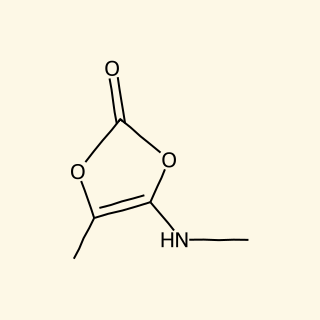 CNc1oc(=O)oc1C